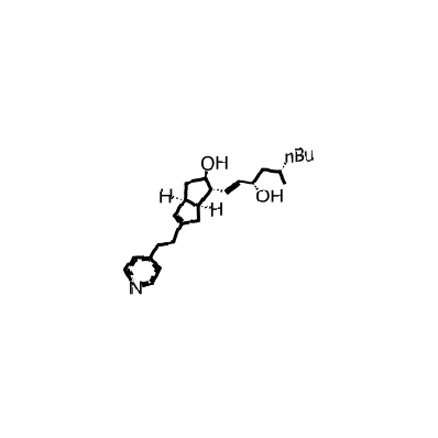 CCCC[C@H](C)C[C@H](O)/C=C/[C@@H]1[C@H]2CC(CCc3ccncc3)=C[C@H]2C[C@H]1O